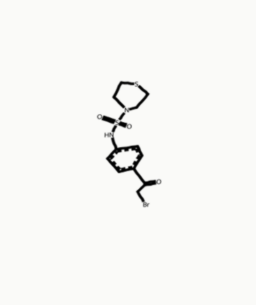 O=C(CBr)c1ccc(NS(=O)(=O)N2CCSCC2)cc1